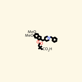 COc1cc2c(cc1OC)C(OC(=O)CC(C)(C)CC(=O)O)=C(CC1CCN(Cc3ccccc3)CC1)C2